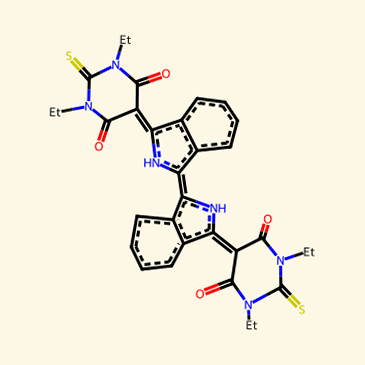 CCN1C(=O)C(=c2[nH]c(=c3[nH]c(=C4C(=O)N(CC)C(=S)N(CC)C4=O)c4ccccc34)c3ccccc23)C(=O)N(CC)C1=S